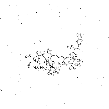 CCC[C@@H](C(=O)C(C)(C)[C@@H](C)CC=O)[C@@H](O[Si](C)(C)C(C)(C)C)[C@@H](C)CCCC(C)=CC[C@H](O[Si](C)(C)C(C)(C)C)/C(C)=C/c1csc(C)n1